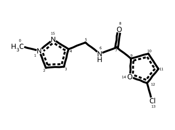 Cn1ccc(CNC(=O)c2ccc(Cl)o2)n1